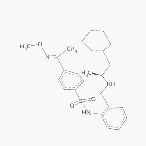 CON=C(C)c1ccc(S(=O)(=O)Nc2ccccc2CN[C@@H](C)CC2CCCCC2)cc1